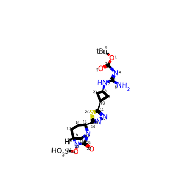 CC(C)(C)OC(=O)/N=C(/N)N[C@H]1C[C@@H](c2nnc([C@@H]3CC[C@@H]4CN3C(=O)N4OS(=O)(=O)O)s2)C1